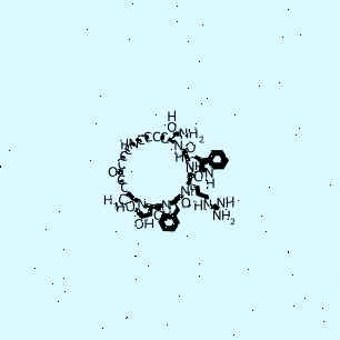 C[C@H]1CCC(=O)CCCNCCCC[C@@H](C(N)O)NC(=O)[C@H](Cc2c[nH]c3ccccc23)NC(=O)[C@H](CCCNC(=N)N)NC(=O)[C@@H](Cc2ccccc2)NC(=O)C2C[C@@H](O)CN2C1O